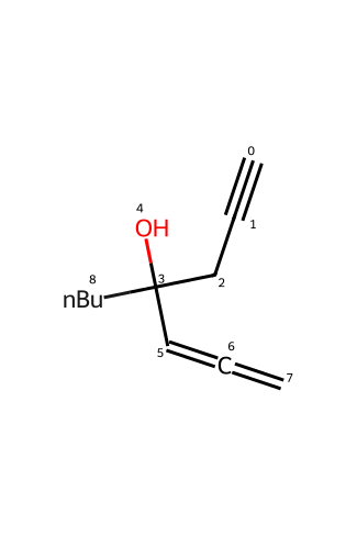 C#CCC(O)(C=C=C)CCCC